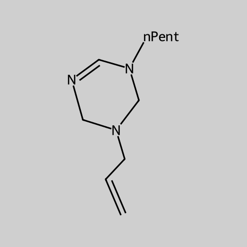 C=CCN1CN=CN(CCCCC)C1